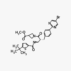 COC(=O)C1CN(C(=O)[C@@H](/C=N/C(=O)c2ccc(C(C)(C)C)s2)Cc2ccc(-c3ncc(Br)cn3)cc2)C1